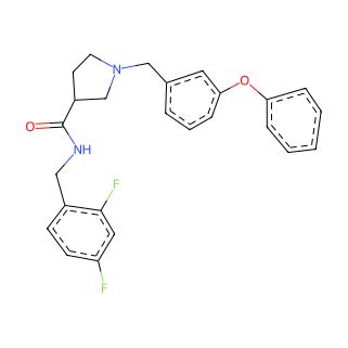 O=C(NCc1ccc(F)cc1F)C1CCN(Cc2cccc(Oc3ccccc3)c2)C1